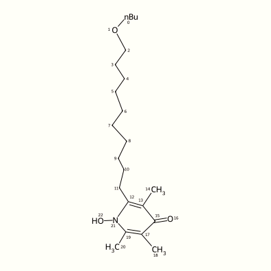 CCCCOCCCCCCCCCCc1c(C)c(=O)c(C)c(C)n1O